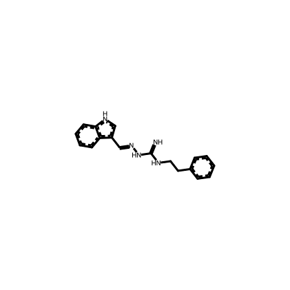 N=C(NCCc1ccccc1)N/N=C/c1c[nH]c2ccccc12